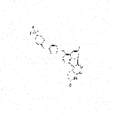 O=C1CCC(N2C(=O)c3cc(F)cc4c(Cc5ccc(CN6CCC(C(F)(F)F)CC6)cc5)ccc2c34)C(=O)N1